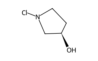 O[C@@H]1CCN(Cl)C1